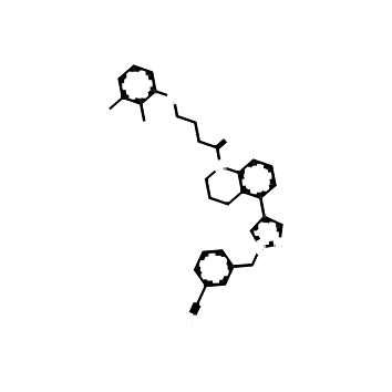 Cc1cccc(OCCCC(=O)N2CCCc3c(-c4cnn(Cc5cccc(C#N)c5)c4)cccc32)c1C